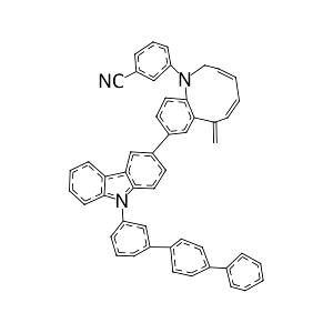 C=C1/C=C\C=C/CN(c2cccc(C#N)c2)c2ccc(-c3ccc4c(c3)c3ccccc3n4-c3cccc(-c4ccc(-c5ccccc5)cc4)c3)cc21